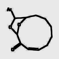 CC(=O)C1OC2OC1CCCCCC=CC2=O